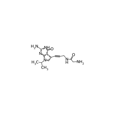 CC(C)n1cc(C#CCNC(=O)CN)c2c(=O)[nH]c(N)nc21